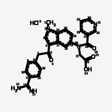 Cl.Cn1cc(C(=O)Cc2ccc(C(=N)N)cc2)c2cc(N(CC(=O)O)C(=O)c3cccnc3)ccc21